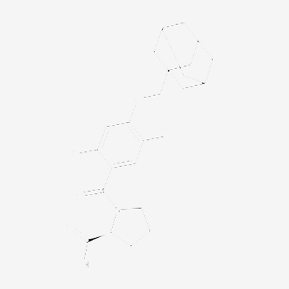 O=C(O)[C@@H]1CCCN1C(=O)c1cc(F)c(OCC23CC4CC(CC(C4)C2)C3)cc1F